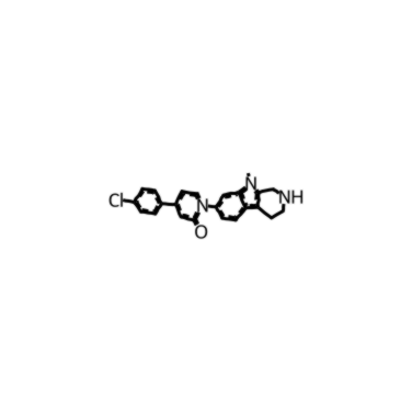 Cn1c2c(c3ccc(-n4ccc(-c5ccc(Cl)cc5)cc4=O)cc31)CCNC2